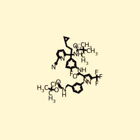 CC(C)(C)OC(=O)NCc1cccc(-n2nc(C(F)(F)F)cc2C(=O)Nc2cc(C(CCC3CC3)(N[S+]([O-])C(C)(C)C)c3cccc(C#N)n3)ccc2F)c1